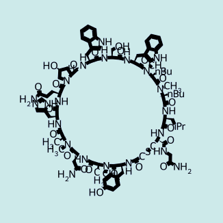 CCCC[C@H]1C(=O)N(C)[C@@H](CCCC)C(=O)N[C@@H](CC(C)C)C(=O)N[C@H](C(=O)NCC(N)=O)CSCC(=O)N[C@@H](Cc2ccc(O)cc2)C(=O)N(C)[C@@H](C)C(=O)N[C@@H](CC(N)=O)C(=O)N(C)[C@@H](C)C(=O)N[C@@H](Cc2cnc[nH]2)C(=O)N[C@@H](CCC(N)=O)C(=O)N2C[C@H](O)C[C@H]2C(=O)N[C@@H](Cc2c[nH]c3ccccc23)C(=O)N[C@@H](CO)C(=O)N[C@@H](Cc2c[nH]c3ccccc23)C(=O)N1C